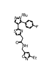 CCc1cc(CNC(=O)Cc2csc(-c3cnn(C(C)(C)C)c3-c3ccc(F)cc3)n2)on1